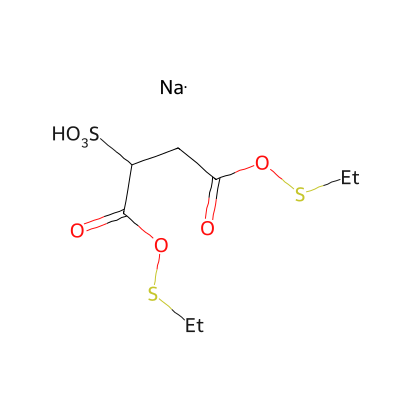 CCSOC(=O)CC(C(=O)OSCC)S(=O)(=O)O.[Na]